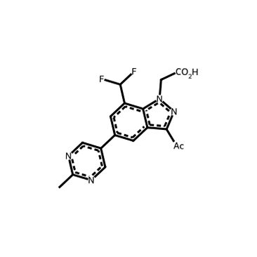 CC(=O)c1nn(CC(=O)O)c2c(C(F)F)cc(-c3cnc(C)nc3)cc12